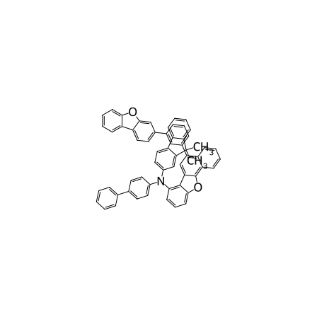 CC1(C)c2ccccc2-c2ccc(N(c3ccc(-c4ccccc4)cc3)c3cccc4oc5c6ccccc6c(-c6cccc(-c7ccc8c(c7)oc7ccccc78)c6)cc5c34)cc21